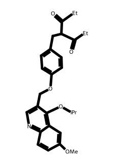 CCC(=O)C(Cc1ccc(OCc2cnc3ccc(OC)cc3c2OC(C)C)cc1)C(=O)CC